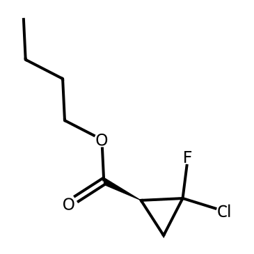 CCCCOC(=O)[C@@H]1CC1(F)Cl